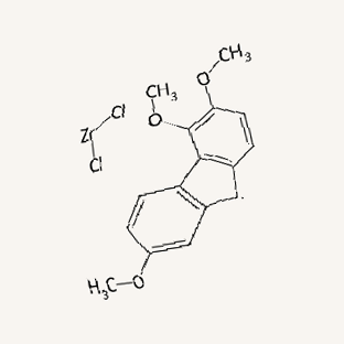 COc1ccc2c(c1)[CH]c1ccc(OC)c(OC)c1-2.[Cl][Zr][Cl]